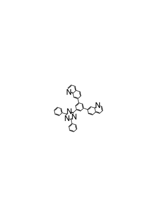 c1ccc(-c2nc(-c3ccccc3)nc(-c3cc(-c4ccc5cccnc5c4)cc(-c4ccc5cccnc5c4)c3)n2)cc1